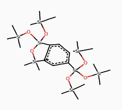 C[Si](C)(C)O[Si](O[Si](C)(C)C)(O[Si](C)(C)C)c1ccc([Si](O[Si](C)(C)C)(O[Si](C)(C)C)O[Si](C)(C)C)cc1